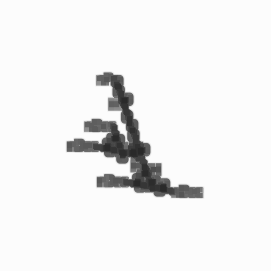 CCCCCCCCCCCCCC(=O)OCCN(CCOC(=O)CCCCCCCCCCCCC)C(=O)CCC(=O)NCCCC[C@H](NC(=O)CCC(=O)N(CCOC(=O)CCCCCCCCCCCCC)CCOC(=O)CCCCCCCCCCCCC)C(=O)NCCCOCCOCCOCCCNC(=O)CCOCCOCCC